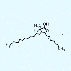 CCCCCCCCCCCC(CCCCCCCC)C(C)(S)C(=O)O